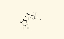 C#C[C@]1(O)C(n2cnc3c(=O)[nH]c(N)nc32)O[C@](F)(CCO)[C@H]1F